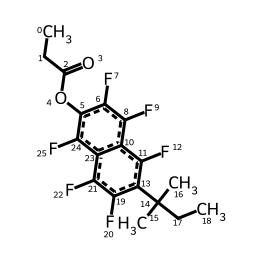 CCC(=O)Oc1c(F)c(F)c2c(F)c(C(C)(C)CC)c(F)c(F)c2c1F